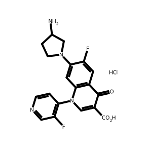 Cl.NC1CCN(c2cc3c(cc2F)c(=O)c(C(=O)O)cn3-c2ccncc2F)C1